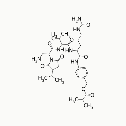 CC(C)C(=O)OCc1ccc(NC(=O)C(CCCNC(N)=O)NC(=O)C(NC(=O)C(CN)N2C(=O)CC(C(C)C)C2=O)C(C)C)cc1